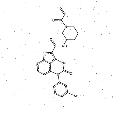 C=CC(=O)N1CCCC(NC(=O)c2sc3nccc4c3c2NC(=O)N4c2cccc(C(C)=O)c2)C1